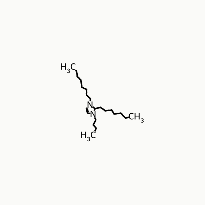 CCCCCCCCN1C=CN(CCCC)C1CCCCCCC